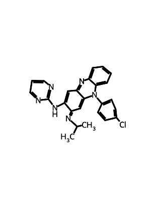 CC(C)/N=c1\cc2n(-c3ccc(Cl)cc3)c3ccccc3nc-2cc1Nc1ncccn1